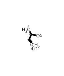 C=CC(C)[O-].[Li+]